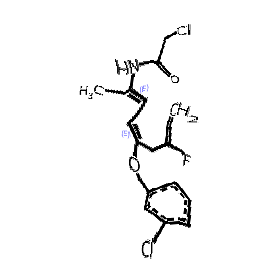 C=C(F)/C(=C\C=C(/C)NC(=O)CCl)Oc1cccc(Cl)c1